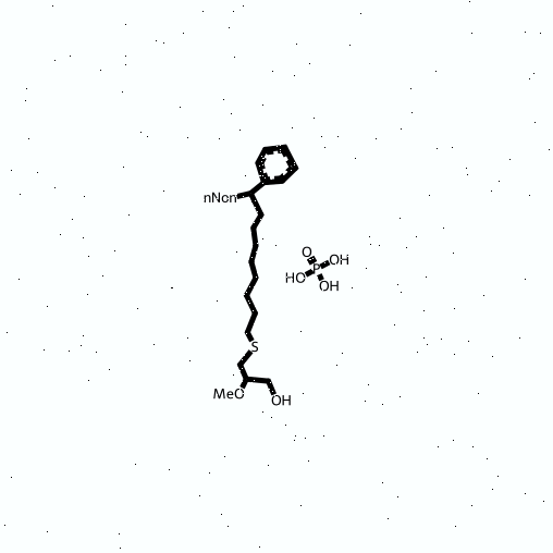 CCCCCCCCCC(CCCCCCCCSCC(CO)OC)c1ccccc1.O=P(O)(O)O